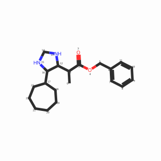 CC(C(=O)OCc1ccccc1)C1NCNC1C1CCCCCC1